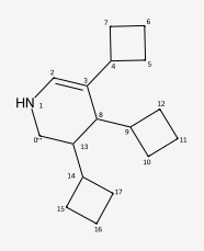 [C]1NC=C(C2CCC2)C(C2CCC2)C1C1CCC1